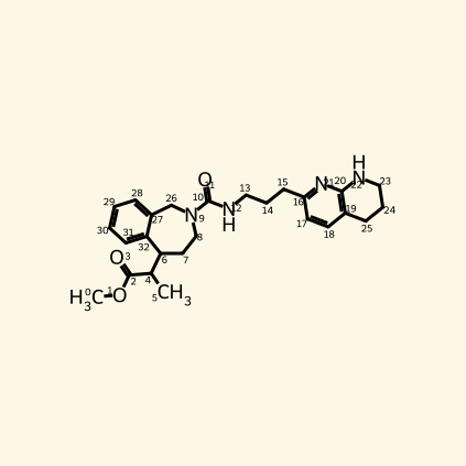 COC(=O)C(C)C1CCN(C(=O)NCCCc2ccc3c(n2)NCCC3)Cc2ccccc21